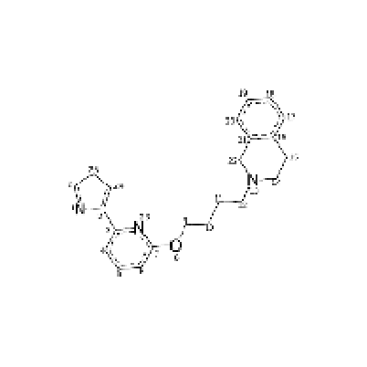 C1=NC(c2cccc(OCCCCN3CCc4ccccc4C3)n2)=CC1